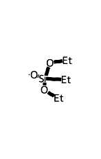 CCO[Si]([O])(CC)OCC